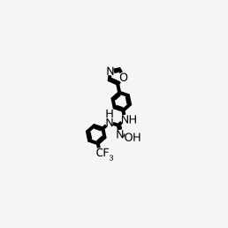 O/N=C(\Nc1ccc(-c2cnco2)cc1)Nc1cccc(C(F)(F)F)c1